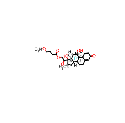 C[C@@H]1C[C@H]2[C@@H]3CCC4=CC(=O)C=C[C@]4(C)[C@@]3(F)[C@@H](O)C[C@]2(C)[C@@]1(O)C(=O)COC(=O)CCCO[N+](=O)[O-]